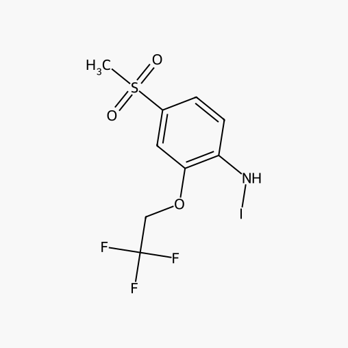 CS(=O)(=O)c1ccc(NI)c(OCC(F)(F)F)c1